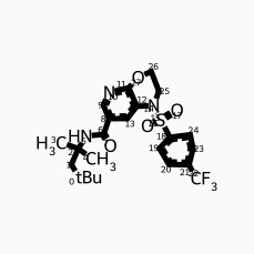 CC(C)(C)CC(C)(C)NC(=O)c1cnc2c(c1)N(S(=O)(=O)c1ccc(C(F)(F)F)cc1)CCO2